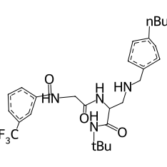 CCCCc1ccc(CNCC(NC(=O)CNC(=O)c2cccc(C(F)(F)F)c2)C(=O)NC(C)(C)C)cc1